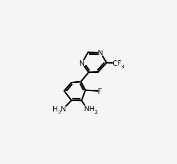 Nc1ccc(-c2cc(C(F)(F)F)ncn2)c(F)c1N